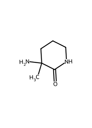 CC1(N)CCCNC1=O